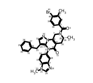 Cc1cc(C(=O)N2Cc3c(c(=O)n(-c4ccc5c(c4)ncn5C)c4c(Cc5ccccc5)cnn34)C[C@H]2C)ccc1Br